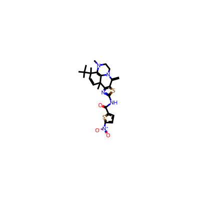 C=C1c2sc(NC(=O)c3ccc([N+](=O)[O-])s3)nc2C2(C)C=CC(C)(C(C)(C)C)C3=C2N1CCN3C